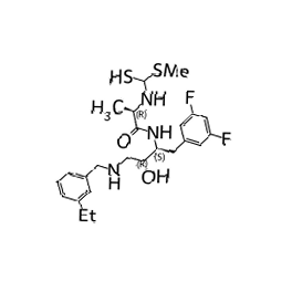 CCc1cccc(CNC[C@@H](O)[C@H](Cc2cc(F)cc(F)c2)NC(=O)[C@@H](C)NC(S)SC)c1